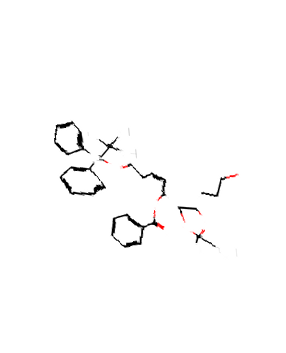 CC1(C)O[C@@H](CCCO)[C@@H](C(/C=C\CCO[Si](c2ccccc2)(c2ccccc2)C(C)(C)C)OC(=O)c2ccccc2)O1